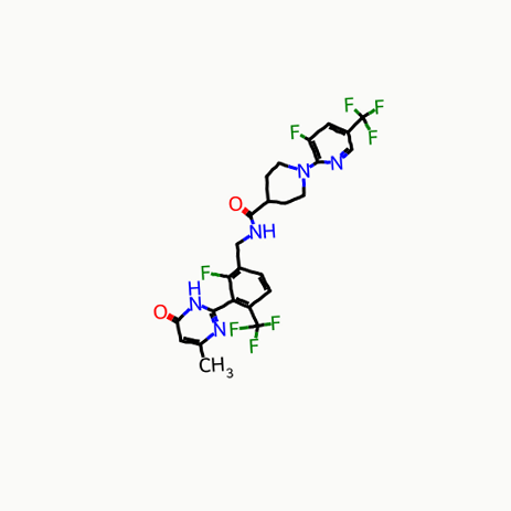 Cc1cc(=O)[nH]c(-c2c(C(F)(F)F)ccc(CNC(=O)C3CCN(c4ncc(C(F)(F)F)cc4F)CC3)c2F)n1